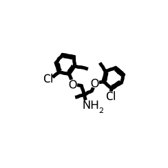 Cc1cccc(Cl)c1OCC(C)(N)COc1c(C)cccc1Cl